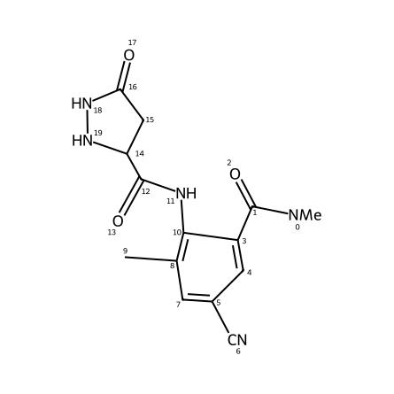 CNC(=O)c1cc(C#N)cc(C)c1NC(=O)C1CC(=O)NN1